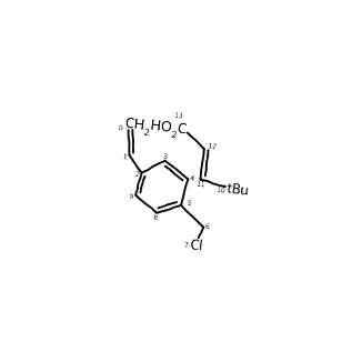 C=Cc1ccc(CCl)cc1.CC(C)(C)C=CC(=O)O